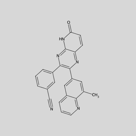 Cc1cc(-c2nc3ccc(=O)[nH]c3nc2-c2cccc(C#N)c2)cc2cccnc12